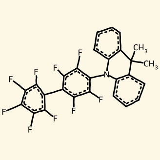 CC1(C)c2ccccc2N(c2c(F)c(F)c(-c3c(F)c(F)c(F)c(F)c3F)c(F)c2F)c2ccccc21